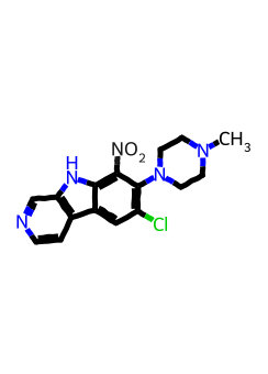 CN1CCN(c2c(Cl)cc3c([nH]c4cnccc43)c2[N+](=O)[O-])CC1